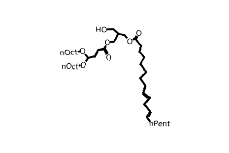 CCCCCC=CCC=CCCCCCCCC(=O)OCC(CO)COC(=O)CCC(OCCCCCCCC)OCCCCCCCC